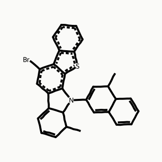 CC1C=C(N2c3c(cc(Br)c4c3sc3ccccc34)C3=CC=CC(C)C32)C=C2C=CC=CC21